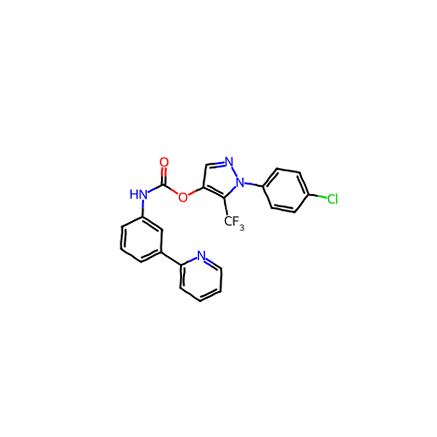 O=C(Nc1cccc(-c2ccccn2)c1)Oc1cnn(-c2ccc(Cl)cc2)c1C(F)(F)F